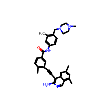 Cc1cc(C)c2cnc(N)c(C#Cc3cc(C(=O)Nc4ccc(CN5CCN(C)CC5)c(C(F)(F)F)c4)ccc3C)c2c1